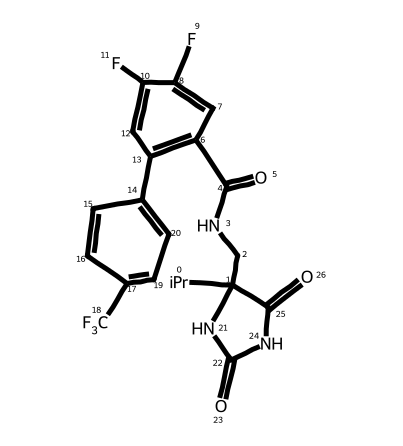 CC(C)C1(CNC(=O)c2cc(F)c(F)cc2-c2ccc(C(F)(F)F)cc2)NC(=O)NC1=O